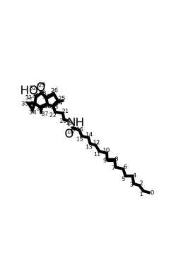 CCCCCCCC/C=C/CCCCCCCC(=O)NCCCC1=C(C)C=C2C(=O)[C@](C)(O)C3(CC3)C(C)=C21